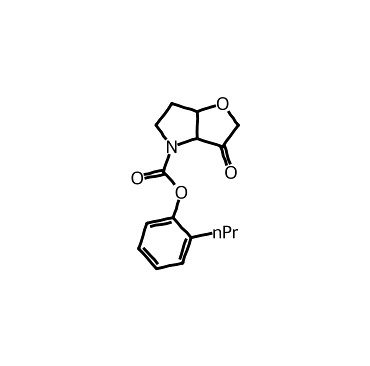 CCCc1ccccc1OC(=O)N1CCC2OCC(=O)C21